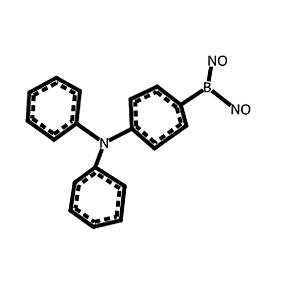 O=NB(N=O)c1ccc(N(c2ccccc2)c2ccccc2)cc1